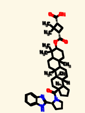 CC1(C)C2CC[C@]3(C)C(CC[C@@H]4[C@H]5CCC[C@]5(C(=O)N5CCC[C@H]5c5nc6ccccc6[nH]5)CC[C@]43C)[C@@]2(C)CC[C@@H]1OC(=O)[C@H]1C[C@@H](C(=O)O)C1(C)C